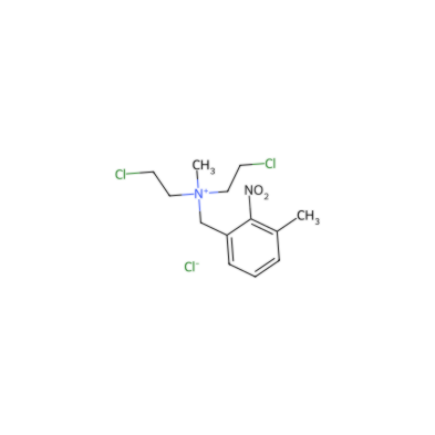 Cc1cccc(C[N+](C)(CCCl)CCCl)c1[N+](=O)[O-].[Cl-]